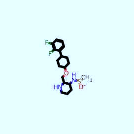 C[S+]([O-])NC1CCCNC1COC1CCC(c2cccc(F)c2F)CC1